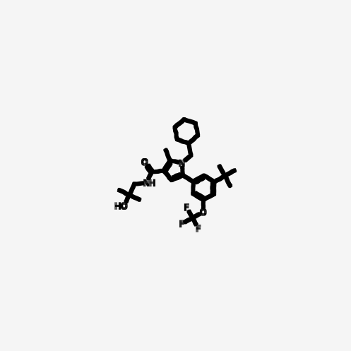 Cc1c(C(=O)NCC(C)(C)O)cc(-c2cc(OC(F)(F)F)cc(C(C)(C)C)c2)n1CC1CCCCC1